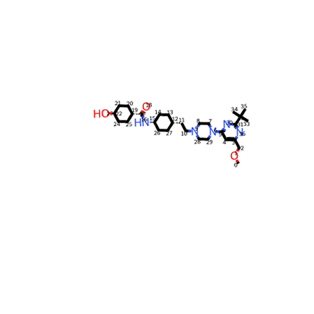 COCc1cc(N2CCN(CC[C@H]3CC[C@@H](NC(=O)[C@H]4CC[C@H](O)CC4)CC3)CC2)nc(C(C)(C)C)n1